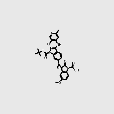 COc1ccc2c(c1)[C@]1(C[C@H]1c1ccc3c(Nc4cc(C)ncc4Cl)nn(C(=O)OC(C)(C)C)c3c1)C(=O)N2C(=O)O